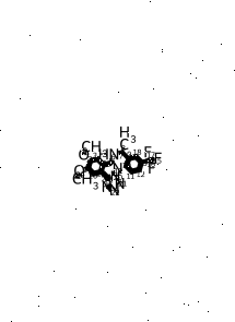 COc1cc2c(N[C@H](C)c3cccc(C(F)(F)F)c3)nn3nnnc3c2cc1OC